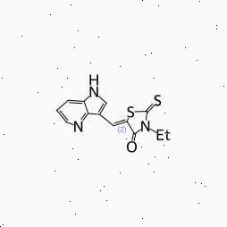 CCN1C(=O)/C(=C/c2c[nH]c3cccnc23)SC1=S